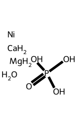 O.O=P(O)(O)O.[CaH2].[MgH2].[Ni]